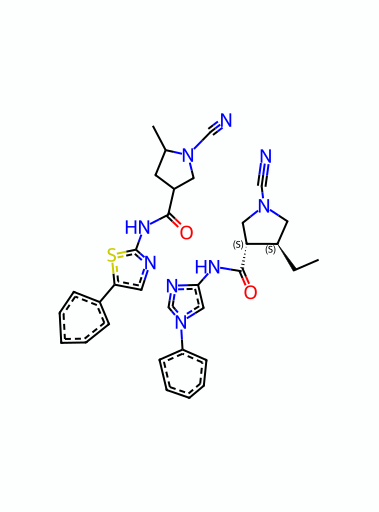 CC1CC(C(=O)Nc2ncc(-c3ccccc3)s2)CN1C#N.CC[C@@H]1CN(C#N)C[C@H]1C(=O)Nc1cn(-c2ccccc2)cn1